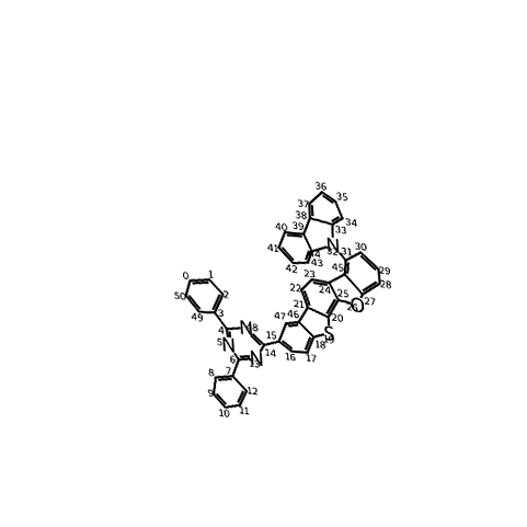 c1ccc(-c2nc(-c3ccccc3)nc(-c3ccc4sc5c(ccc6c5oc5cccc(-n7c8ccccc8c8ccccc87)c56)c4c3)n2)cc1